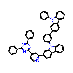 c1ccc(-c2nc(-c3ccccc3)nc(-c3ccnc(-c4ccc5c6ccccc6n(-c6cccc(-c7ccc8c9ccccc9n(-c9ccccc9)c8c7)c6)c5c4)c3)n2)cc1